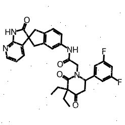 CCC1(CC)C(=O)CC(c2cc(F)cc(F)c2)N(CC(=O)Nc2ccc3c(c2)CC2(C3)C(=O)Nc3ncccc32)C1=O